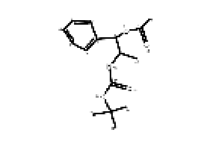 CC(=O)OC(c1ccccc1)C(C)NC(=O)OC(C)(C)C